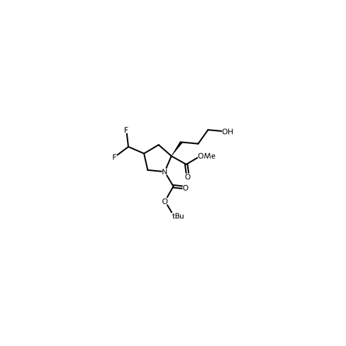 COC(=O)[C@@]1(CCCO)CC(C(F)F)CN1C(=O)OC(C)(C)C